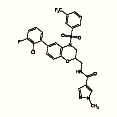 Cn1cc(C(=O)NCC2CN(S(=O)(=O)c3cccc(C(F)(F)F)c3)c3cc(-c4cccc(F)c4Cl)ccc3O2)cn1